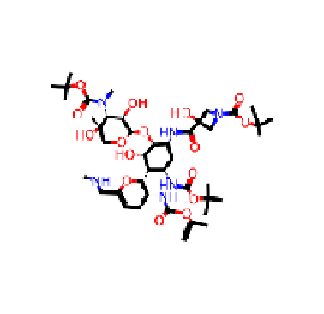 C=C(C)OC(=O)N[C@@H]1CC=C(CNC)O[C@@H]1C1[C@@H](NC(=O)OC(C)(C)C)C[C@@H](NC(=O)C2(O)CN(C(=O)OC(C)(C)C)C2)[C@H](O[C@H]2OC[C@](C)(O)[C@H](N(C)C(=O)OC(C)(C)C)[C@H]2O)[C@H]1O